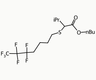 CCCCOC(=O)C(SCCCCC(F)(F)C(F)(F)C(F)(F)F)C(C)C